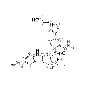 CNC(=O)c1nc(-c2cnn(CCCO)c2)ccc1Nc1nc(Nc2ccc(CP=O)cc2)ncc1C(F)(F)F